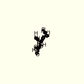 CC(Nc1ccc(S(=O)(=O)NC(=O)c2ccc(N3CCN(CC4=C(c5ccc(C(F)(F)F)cc5Cl)CC(C)(C)CC4)CC3)cc2Oc2cnc3[nH]ccc3c2)cc1[N+](=O)[O-])C1CCCOC1